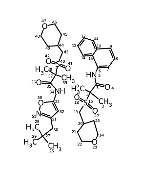 CC(C)(C(=O)Nc1cccc2ccccc12)S(=O)(=O)CC1CCOCC1.CC(C)(C)Cc1cc(NC(=O)C(C)(C)S(=O)(=O)CC2CCOCC2)on1